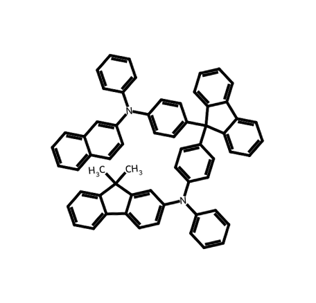 CC1(C)c2ccccc2-c2ccc(N(c3ccccc3)c3ccc(C4(c5ccc(N(c6ccccc6)c6ccc7ccccc7c6)cc5)c5ccccc5-c5ccccc54)cc3)cc21